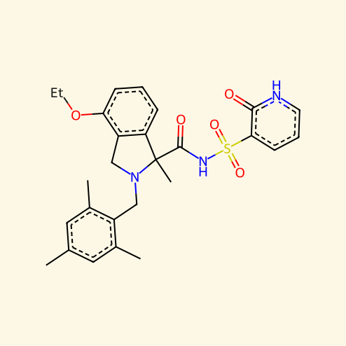 CCOc1cccc2c1CN(Cc1c(C)cc(C)cc1C)C2(C)C(=O)NS(=O)(=O)c1ccc[nH]c1=O